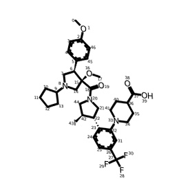 COc1ccc([C@@H]2CN(C3CCCC3)C[C@@]2(OC)C(=O)N2C[C@H](c3ccc(C(F)(F)F)cc3N3CCC(C(=O)O)CC3)[C@@H](I)C2)cc1